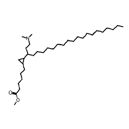 CCCCCCCCCCCCCCCCCCCC(CCN(C)C)C1CC1CCCCCC(=O)OC